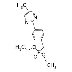 CCOP(=O)(Cc1ccc(-c2ncc(C)cn2)cc1)OCC